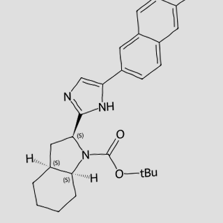 CC(C)(C)OC(=O)N1[C@H](c2ncc(-c3ccc4cc(Br)ccc4c3)[nH]2)C[C@@H]2CCCC[C@@H]21